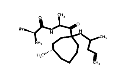 C=CCC(C)NC1(C(=O)[C@H](C)NC(=O)[C@@H](N)C(C)C)CCCC[C@H](C)CC1